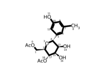 CC(=O)OC[C@H]1O[C@H](c2cc(C)cc(O)c2)[C@@H](O)[C@@H](O)[C@@H]1OC(C)=O